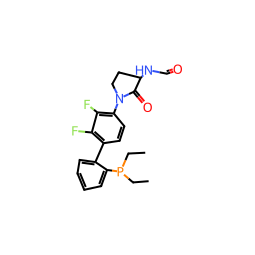 CCP(CC)c1ccccc1-c1ccc(N2CCC(NC=O)C2=O)c(F)c1F